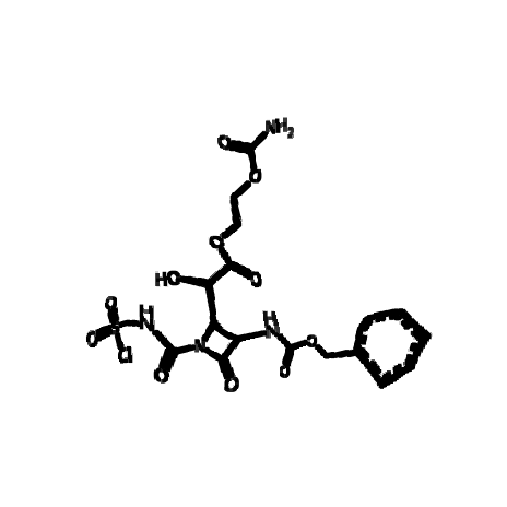 NC(=O)OCCOC(=O)C(O)C1C(NC(=O)OCc2ccccc2)C(=O)N1C(=O)NS(=O)(=O)Cl